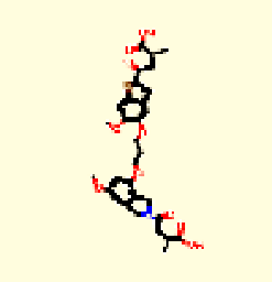 COc1cc2c(c(OCCCOc3cc4cc(C(=O)C[C@H](C)C(=O)O)sc4cc3OC)c1)CN(C(=O)C[C@H](C)C(=O)O)C2